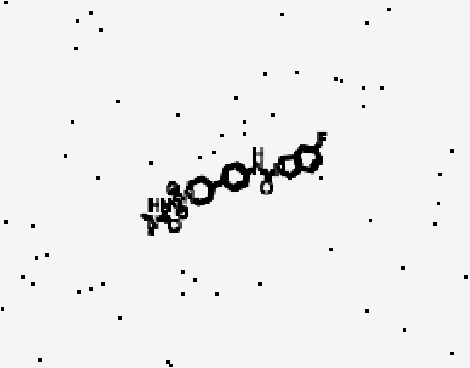 CN(C)C(=O)NS(=O)(=O)N1CCC(c2ccc(NC(=O)N3Cc4ccc(F)cc4C3)cc2)CC1